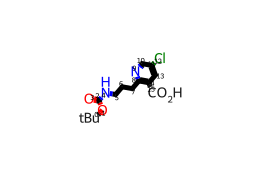 CC(C)(C)OC(=O)NCCCc1ncc(Cl)cc1C(=O)O